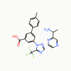 CC(N)c1cnccn1.Cc1ccc(-c2cc(C(=O)O)cc(-n3ncnc3C(F)(F)F)c2)cc1